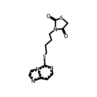 O=C1CSC(=O)N1CCCCSc1nccc2nccn12